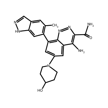 Cc1cc2cn[nH]c2cc1-c1cc(N2CCC(O)CC2)cc2c(N)c(C(N)=O)nnc12